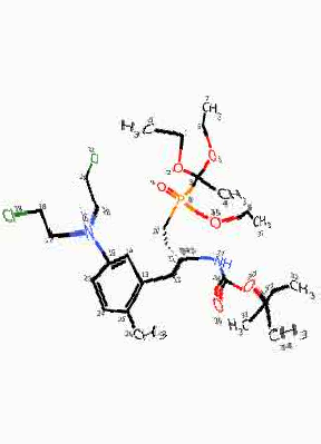 CCOC(C)(OCC)P(=O)(C[C@@H](Cc1cc(N(CCCl)CCCl)ccc1C)NC(=O)OC(C)(C)C)OCC